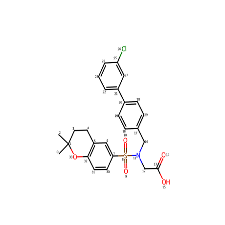 CC1(C)CCc2cc(S(=O)(=O)N(CC(=O)O)Cc3ccc(-c4cccc(Cl)c4)cc3)ccc2O1